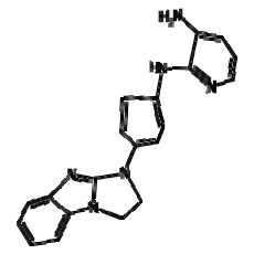 Nc1cccnc1Nc1ccc(N2CCn3c2nc2ccccc23)cc1